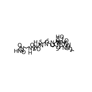 CC(C)Cc1nc(C(=O)N[C@H](c2nc(-c3nc(-c4nc(-c5nc(C(=O)NC6(C(=O)NCCCN7C(=O)CNC7=O)CC6)cs5)cs4)ccc3-c3nc(C(N)=O)cs3)cs2)[C@@H](C)O)cs1